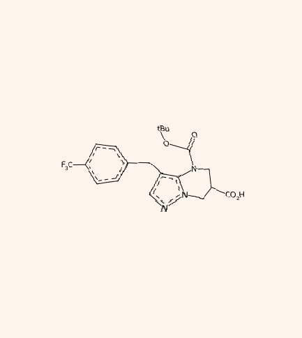 CC(C)(C)OC(=O)N1CC(C(=O)O)Cn2ncc(Cc3ccc(C(F)(F)F)cc3)c21